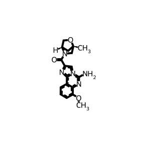 COc1cccc2c1nc(N)n1cc(C(=O)N3C[C@]4(C)C[C@H]3CO4)nc21